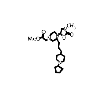 COC(=O)CN1CCN(C2CN(C)C(=O)O2)C(CCCC2CCN(C3CCCC3)CC2)C1